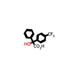 O=C(O)C(O)(c1ccccc1)c1ccc(C(F)(F)F)cc1